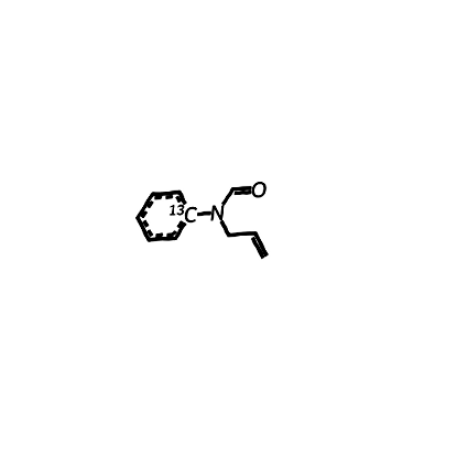 C=CCN(C=O)[13c]1ccccc1